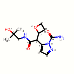 CC(C)(O)CNC(=O)C(c1[c]cnn1C(N)=O)C1CCO1